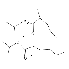 CCCC(C)C(=O)OC(C)C.CCCCCC(=O)OC(C)C